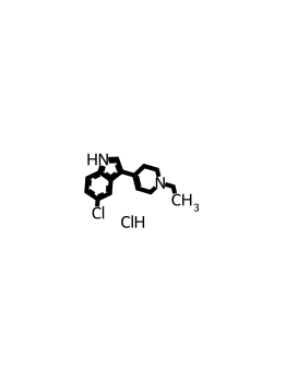 CCN1CC=C(c2c[nH]c3ccc(Cl)cc23)CC1.Cl